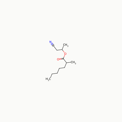 CCCCCC(C)C(=O)OC(C)CC#N